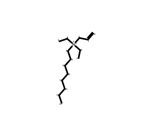 C=CC[N+](CC)(CC)CCCCCCCC